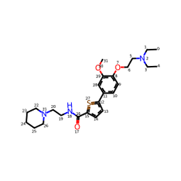 CCN(CC)CCOc1ccc(-c2ccc(C(=O)NCCN3CCCCC3)s2)cc1OC